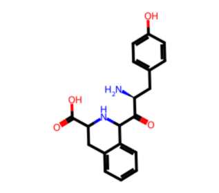 N[C@@H](Cc1ccc(O)cc1)C(=O)C1NC(C(=O)O)Cc2ccccc21